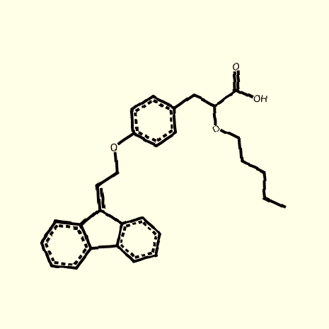 CCCCCOC(Cc1ccc(OCC=C2c3ccccc3-c3ccccc32)cc1)C(=O)O